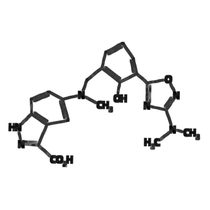 CN(C)c1noc(-c2cccc(CN(C)c3ccc4[nH]nc(C(=O)O)c4c3)c2O)n1